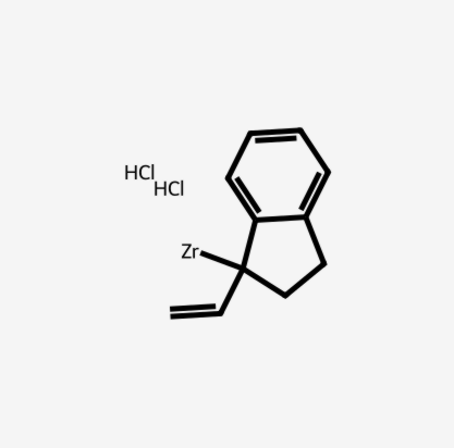 C=C[C]1([Zr])CCc2ccccc21.Cl.Cl